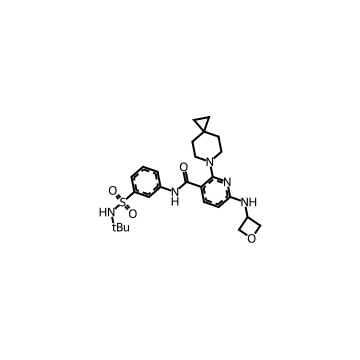 CC(C)(C)NS(=O)(=O)c1cccc(NC(=O)c2ccc(NC3COC3)nc2N2CCC3(CC2)CC3)c1